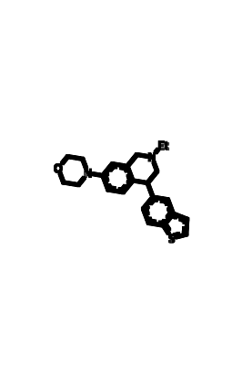 CCN1Cc2cc(N3CCOCC3)ccc2C(c2ccc3sccc3c2)C1